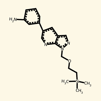 C[Si](C)(C)CCOCn1ncc2cc(-c3cccc(N)c3)cnc21